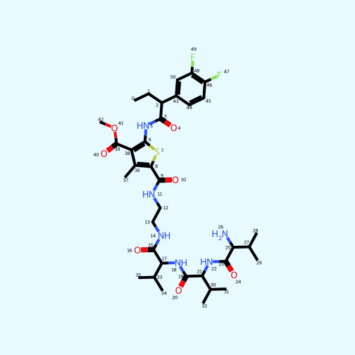 CCC(C(=O)Nc1sc(C(=O)NCCNC(=O)C(NC(=O)C(NC(=O)C(N)C(C)C)C(C)C)C(C)C)c(C)c1C(=O)OC)c1ccc(F)c(F)c1